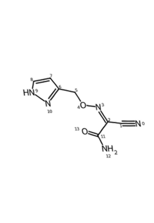 N#CC(=NOCc1cc[nH]n1)C(N)=O